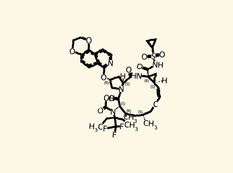 CCC(CC)(N(C(=O)O)[C@@H]1C(=O)N2C[C@H](Oc3nccc4c5c(ccc34)OCCO5)C[C@H]2C(=O)N[C@]2(C(=O)NS(=O)(=O)C3CC3)C[C@H]2C=CCC[C@H](C)C[C@H]1C)C(F)(F)F